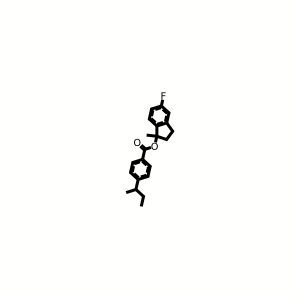 CCC(C)c1ccc(C(=O)OC2(C)CCc3cc(F)ccc32)cc1